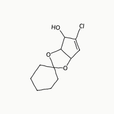 OC1C(Cl)=CC2OC3(CCCCC3)OC21